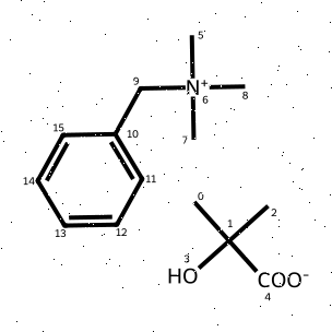 CC(C)(O)C(=O)[O-].C[N+](C)(C)Cc1ccccc1